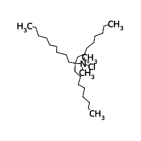 CCCCCCCCCC(CCCCCCCC)(CCCCCCCC)[N+](C)(C)Cl